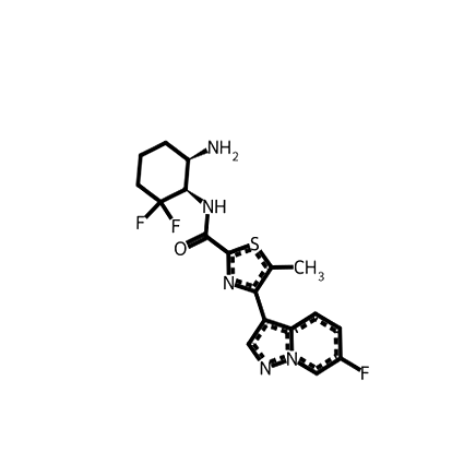 Cc1sc(C(=O)N[C@@H]2[C@H](N)CCCC2(F)F)nc1-c1cnn2cc(F)ccc12